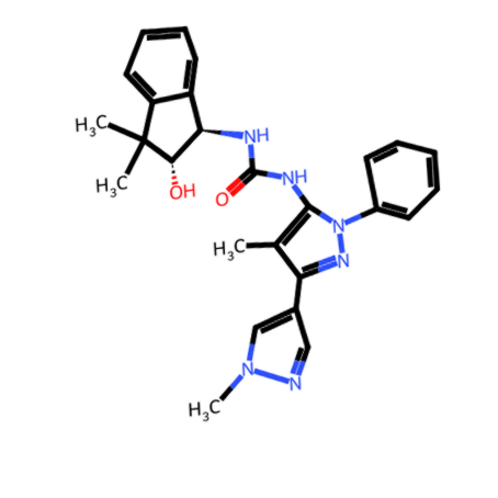 Cc1c(-c2cnn(C)c2)nn(-c2ccccc2)c1NC(=O)N[C@@H]1c2ccccc2C(C)(C)[C@H]1O